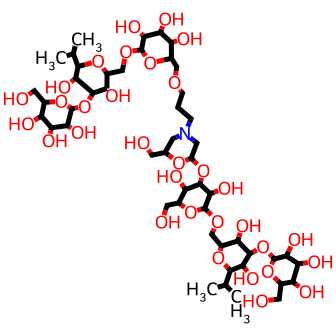 CC(C)C1OC(COC2OC(COCCCN3CC(CO)OC(OC4C(O)C(CO)OC(OCC5OC(C(C)C)C(O)C(OC6OC(CO)C(O)C(O)C6O)C5O)C4O)C3)C(O)C(O)C2O)C(O)C(OC2OC(CO)C(O)C(O)C2O)C1O